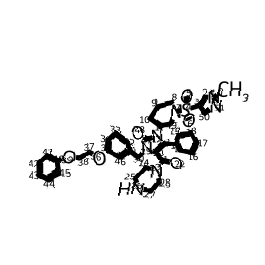 Cn1cc(S(=O)(=O)N2CCCC(n3c(-c4ccccc4)c(C(=O)N4CCNCC4)n(Cc4cccc(OCCOc5ccccc5)c4)c3=O)C2)cn1